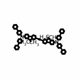 CC1(C)c2cc(C#Cc3ccc4c(c3)C(C)(C)c3cc(N(c5ccc(-c6ccccc6)cc5)c5ccc(-c6ccccc6)cc5)ccc3-4)ccc2-c2ccc(N(c3ccc(-c4ccccc4)cc3)c3ccc(-c4ccccc4)cc3)cc21